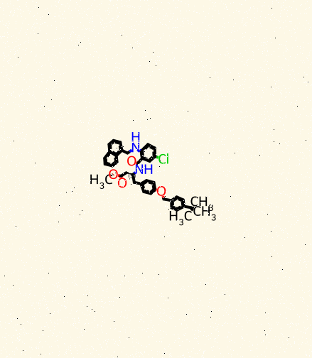 COC(=O)C[C@H](Cc1ccc(OCc2ccc(C(C)(C)C)cc2)cc1)NC(=O)c1cc(Cl)ccc1NCc1cccc2ccccc12